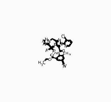 CCOC(=O)c1cc(C#N)cc(C)c1NC(=O)c1cc(Cn2nnnc2C(F)(F)F)nn1-c1ncccc1Cl